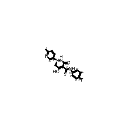 Cc1ccc(N2CC(O)=C(C(=S)Nc3ccc(F)cc3)C(=O)N2)cn1